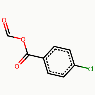 O=COC(=O)c1ccc(Cl)cc1